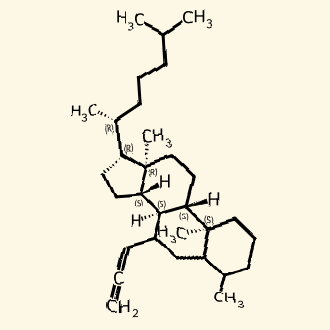 C=C=CC1CC2C(C)CCC[C@]2(C)[C@H]2CC[C@]3(C)[C@@H]([C@H](C)CCCC(C)C)CC[C@H]3[C@H]12